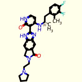 Cc1c(C[C@H](C)Nc2cc[nH]c(=O)c2-c2nc3cc4c(cc3[nH]2)CN(CCN2CCCC2)C4=O)ccc(F)c1F